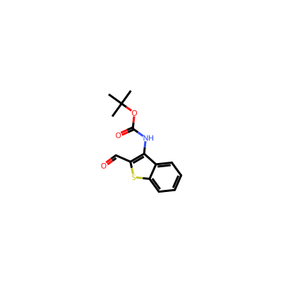 CC(C)(C)OC(=O)Nc1c(C=O)sc2ccccc12